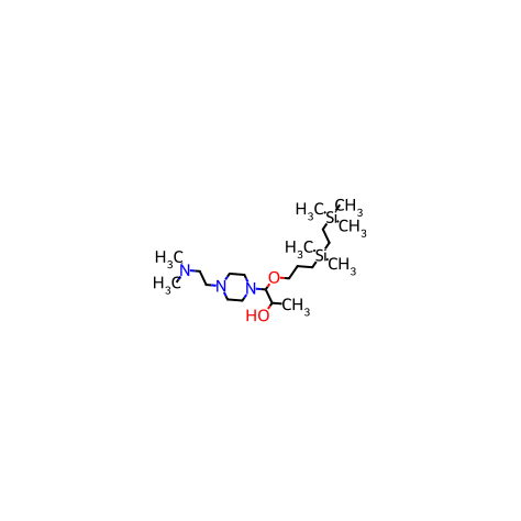 CC(O)C(OCCC[Si](C)(C)CC[Si](C)(C)C)N1CCN(CCN(C)C)CC1